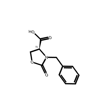 O=C(O)[C@@H]1COC(=O)N1Cc1ccccc1